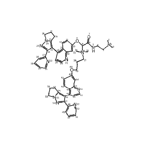 CN(C)CCNC(=O)C(Oc1ccc2c(-c3c(-c4ccccn4)nn4c3CCC4)ccnc2c1)[N+](C)(C)CCCOc1ccc2c(-c3c(-c4ccccn4)nn4c3CCC4)ccnc2c1